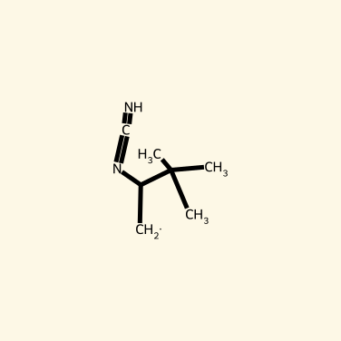 [CH2]C(N=C=N)C(C)(C)C